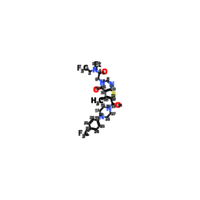 CCN(CC(F)(F)F)C(=O)Cn1cnc2sc(C(=O)N3CCN(c4ccc(C(F)(F)F)cc4)CC3)c(C)c2c1=O